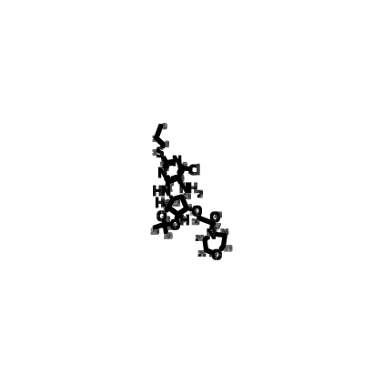 CCCSc1nc(Cl)c(N)c(N[C@@H]2C[C@H](OCC(=O)N3CCOCC3)[C@H]3OC(C)(C)O[C@H]32)n1